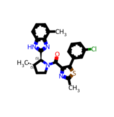 Cc1nc(C(=O)N2CC[C@H](C)[C@H]2c2nc3c(C)cccc3[nH]2)c(-c2cccc(Cl)c2)s1